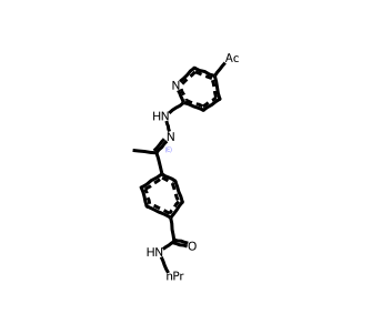 CCCNC(=O)c1ccc(/C(C)=N/Nc2ccc(C(C)=O)cn2)cc1